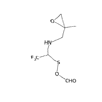 CC1(CNC(SOC=O)C(F)(F)F)CO1